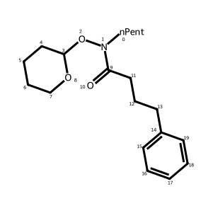 CCCCCN(OC1CCCCO1)C(=O)CCCc1ccccc1